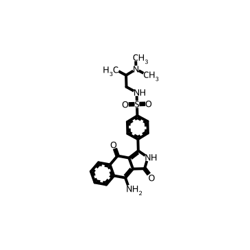 CC(CNS(=O)(=O)c1ccc(C2=C3C(=O)c4ccccc4C(N)=C3C(=O)N2)cc1)N(C)C